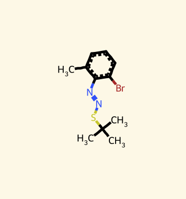 Cc1cccc(Br)c1N=NSC(C)(C)C